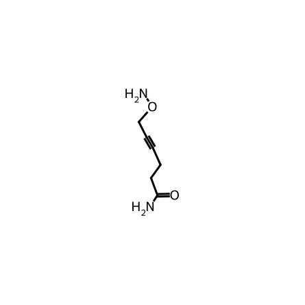 NOCC#CCCC(N)=O